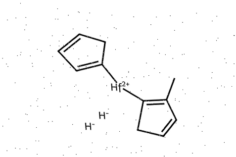 CC1=[C]([Hf+2][C]2=CC=CC2)CC=C1.[H-].[H-]